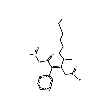 CCCCCCC(C)C(C[N+](=O)[O-])=C(C(=O)O[N+](=O)[O-])c1ccccc1